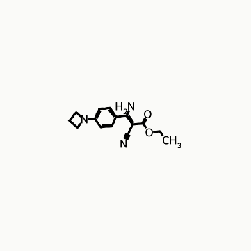 CCOC(=O)/C(C#N)=C(\N)c1ccc(N2CCC2)cc1